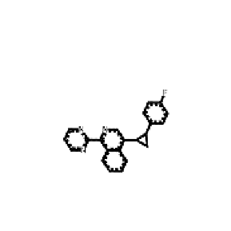 Fc1ccc(C2CC2c2cnc(-c3ncccn3)c3ccccc23)cc1